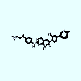 CCn1c(=O)c(-c2ccc(-c3ccc(C)nc3)cc2Cl)cc2cnc(Nc3ccc(C(C)CCN(C)C)cc3)nc21